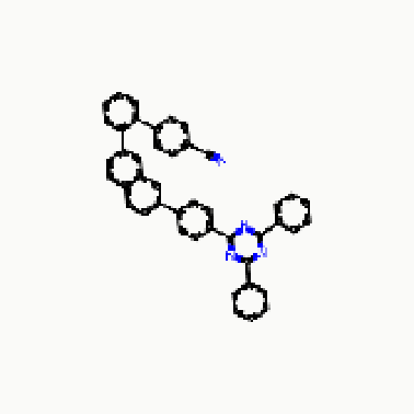 N#Cc1ccc(-c2ccccc2-c2ccc3ccc(-c4ccc(-c5nc(-c6ccccc6)nc(-c6ccccc6)n5)cc4)cc3c2)cc1